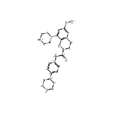 COc1cc2c(c(N3CCNCC3)c1)OC(C(=O)Nc1ccc(N3CCOCC3)cc1)CC2